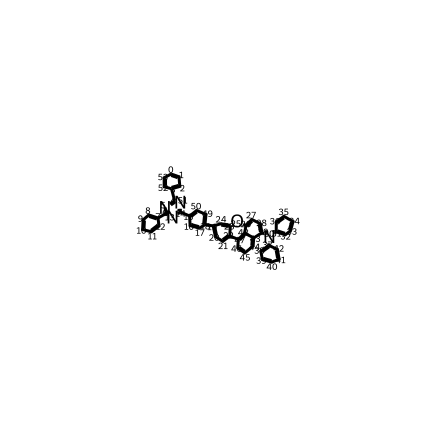 c1ccc(-c2nc(-c3ccccc3)nc(-c3ccc(-c4ccc5c(c4)Oc4ccc(N(c6ccccc6)c6ccccc6)c6cccc-5c46)cc3)n2)cc1